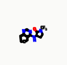 O=C1C(Nc2ncnc3ccccc23)CCN1C(F)(F)F